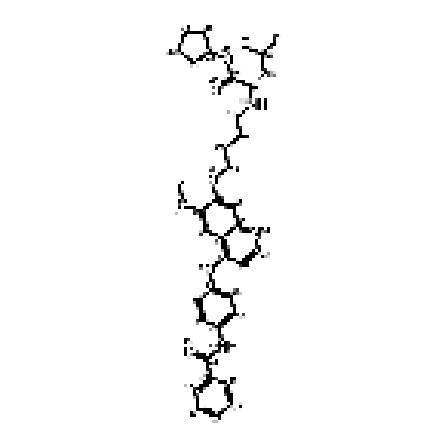 COc1cc2c(Oc3ccc(NC(=O)c4ccccc4)cc3)ccnc2cc1OCCCCN[C@@H](CC(C)C)C(=O)OC1CCCC1